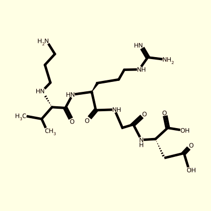 CC(C)[C@H](NCCCN)C(=O)N[C@@H](CCCNC(=N)N)C(=O)NCC(=O)N[C@@H](CC(=O)O)C(=O)O